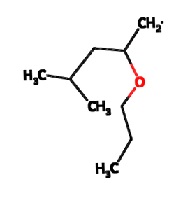 [CH2]C(CC(C)C)OCCC